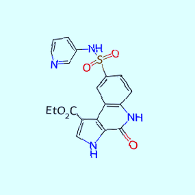 CCOC(=O)c1c[nH]c2c(=O)[nH]c3ccc(S(=O)(=O)Nc4cccnc4)cc3c12